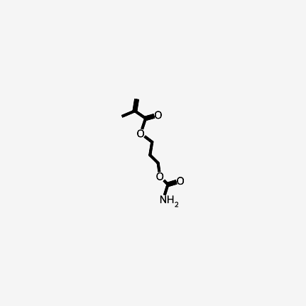 C=C(C)C(=O)OCCCOC(N)=O